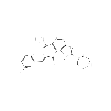 NC(=O)c1ccc2nc(N3CCNCC3)n(C(F)(F)F)c2c1C(=O)C=Cc1cccc(C(F)(F)F)c1